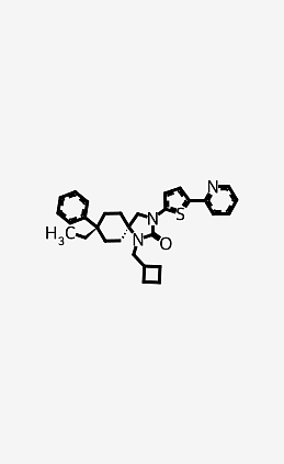 CC[C@]1(c2ccccc2)CC[C@]2(CC1)CN(c1ccc(-c3ccccn3)s1)C(=O)N2CC1CCC1